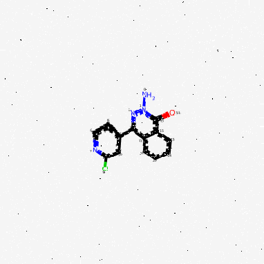 Nn1nc(-c2ccnc(Cl)c2)c2ccccc2c1=O